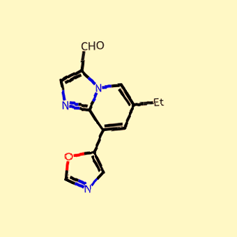 CCc1cc(-c2cnco2)c2ncc(C=O)n2c1